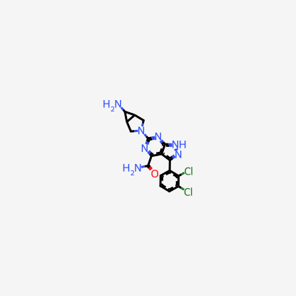 NC(=O)c1nc(N2CC3C(N)C3C2)nc2[nH]nc(-c3cccc(Cl)c3Cl)c12